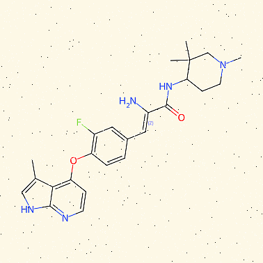 Cc1c[nH]c2nccc(Oc3ccc(/C=C(\N)C(=O)NC4CCN(C)CC4(C)C)cc3F)c12